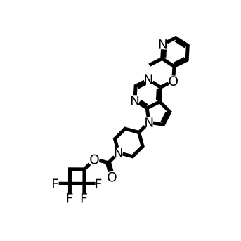 Cc1ncccc1Oc1ncnc2c1ccn2C1CCN(C(=O)OC2CC(F)(F)C2(F)F)CC1